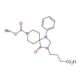 CCOC(=O)CCCN1CN(c2ccccc2)C2(CCN(C(=O)OC(C)(C)C)CC2)C1=O